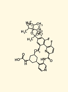 CC(C)[Si](OC(C)(C)c1cc(F)c(-c2nc(C(=O)Nc3cnccc3[C@@H]3C[C@H](C)C[C@H](NC(=O)O)C3)ccc2F)c(F)c1)(C(C)C)C(C)C